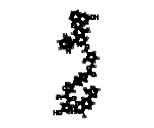 CCc1cccc2cc(O)cc(-c3ncc4c(N5C[C@H]6CC[C@@H](C5)N6)nc(OC[C@@H]5CC[C@@H](COC(=O)N6CC7(C6)CN(c6cc([C@@H](C(=O)N8C[C@H](O)C[C@H]8C(=O)N[C@@H](C)c8ccc(-c9scnc9C)cc8)C(C)C)on6)C7)N5C)nc4c3F)c12